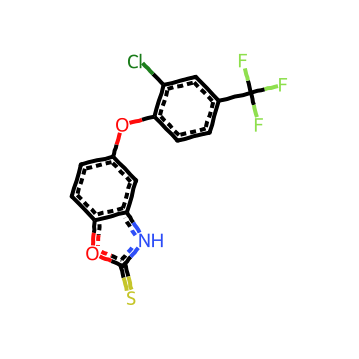 FC(F)(F)c1ccc(Oc2ccc3oc(=S)[nH]c3c2)c(Cl)c1